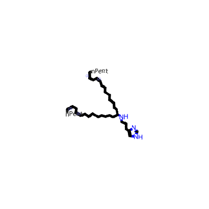 CCCCC/C=C\C/C=C\CCCCCCCCC(CCCCCCCC/C=C\C/C=C\CCCCC)NCCCc1c[nH]cn1